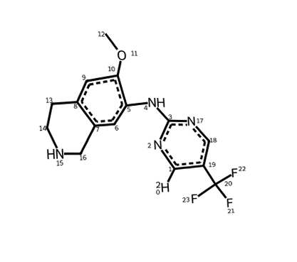 [2H]c1nc(Nc2cc3c(cc2OC)CCNC3)ncc1C(F)(F)F